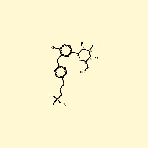 CP(C)(=O)COCc1ccc(Cc2cc([C@@H]3O[C@H](CO)[C@@H](O)[C@H](O)[C@H]3O)ccc2Cl)cc1